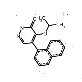 CC(C)OC1=C(c2cccc3ccccc23)C=N[N]C1=O